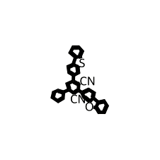 N#Cc1c(-c2ccccc2)cc(-c2ccc3c(c2)sc2ccccc23)c(C#N)c1-c1ccc2c(c1)oc1ccccc12